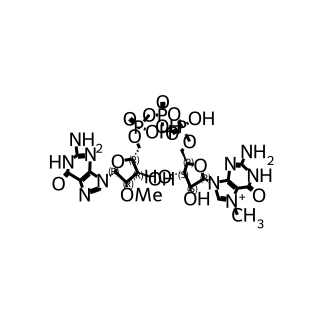 CO[C@@H]1[C@H](O)[C@@H](COP(=O)(O)OP(=O)(O)OP(=O)(O)OC[C@H]2O[C@@H](n3c[n+](C)c4c(=O)[nH]c(N)nc43)[C@@H](O)[C@@H]2O)O[C@H]1n1cnc2c(=O)[nH]c(N)nc21